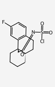 O=S(=O)(Cl)N=C1C[C@]23CCCC[C@]2(CCc2ccc(F)cc23)O1